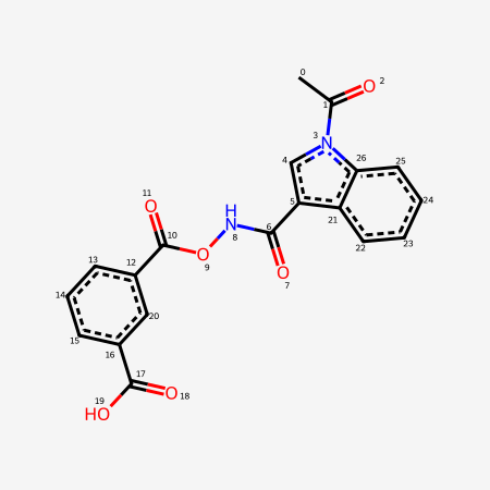 CC(=O)n1cc(C(=O)NOC(=O)c2cccc(C(=O)O)c2)c2ccccc21